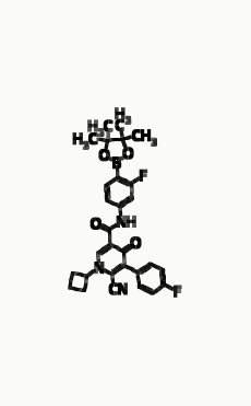 CC1(C)OB(c2ccc(NC(=O)c3cn(C4CCC4)c(C#N)c(-c4ccc(F)cc4)c3=O)cc2F)OC1(C)C